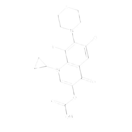 O=C(O)Oc1cn(C2CC2)c2c(F)c(N3CCSCC3)c(Cl)cc2c1=O